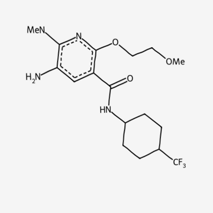 CNc1nc(OCCOC)c(C(=O)NC2CCC(C(F)(F)F)CC2)cc1N